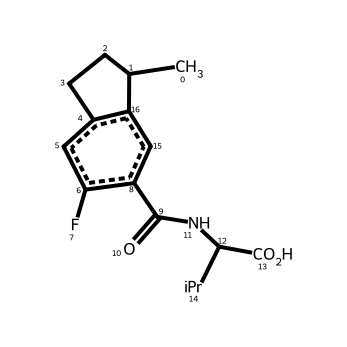 CC1CCc2cc(F)c(C(=O)NC(C(=O)O)C(C)C)cc21